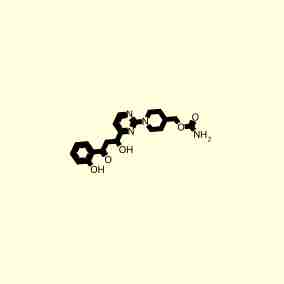 NC(=O)OCC1CCN(c2nccc(C(O)CC(=O)c3ccccc3O)n2)CC1